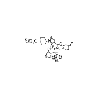 CCOC(=O)[C@H]1CC[C@H](n2ncc(C(=O)N(Cc3ccc(F)cc3)CC(O[Si](CC)(CC)CC)c3c(Cl)cncc3Cl)c2C(F)(F)F)CC1